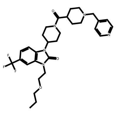 CCCOCCn1c(=O)n(C2CCN(C(=O)C3CCN(Cc4ccncc4)CC3)CC2)c2ccc(C(F)(F)F)cc21